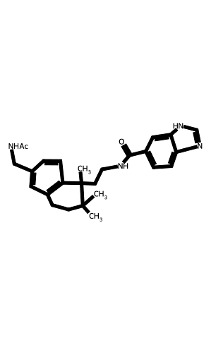 CC(=O)NCc1ccc2c(c1)CCC(C)(C)C2(C)CCNC(=O)c1ccc2nc[nH]c2c1